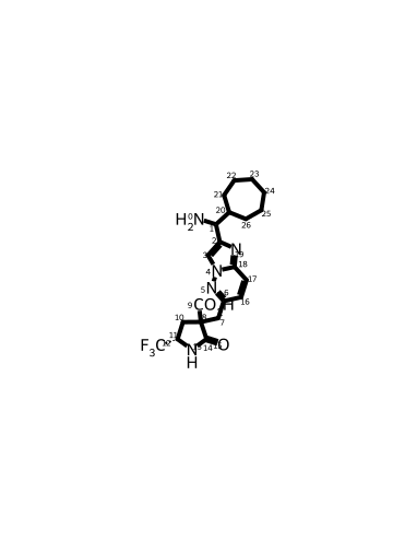 NC(c1cn2nc(CC3(C(=O)O)C[C@@H](C(F)(F)F)NC3=O)ccc2n1)C1CCCCCC1